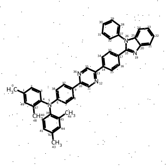 Cc1ccc(N(c2ccc(-c3cnc(-c4ccc(-c5nc6ccccc6n5-c5ccccc5)cc4)cn3)cc2)c2ccc(C)cc2C)c(C)c1